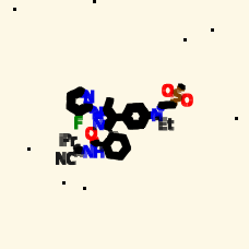 CCN(CCS(C)(=O)=O)c1ccc(-c2c([C@@H]3CCCC[C@H]3C(=O)N[C@H](C#N)C(C)C)nn(-c3ncccc3F)c2C)cc1